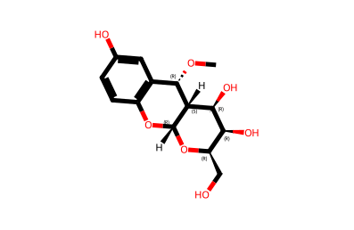 CO[C@H]1c2cc(O)ccc2O[C@H]2O[C@H](CO)[C@H](O)[C@H](O)[C@H]21